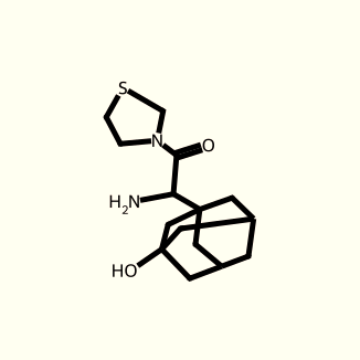 NC(C(=O)N1CCSC1)C12CC3CC(CC(O)(C3)C1)C2